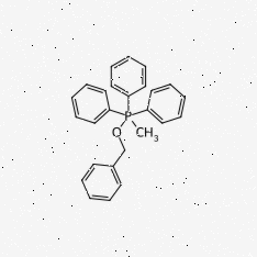 CP(OCc1ccccc1)(c1ccccc1)(c1ccccc1)c1ccccc1